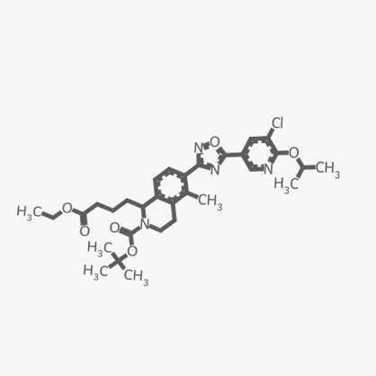 CCOC(=O)CCCC1c2ccc(-c3noc(-c4cnc(OC(C)C)c(Cl)c4)n3)c(C)c2CCN1C(=O)OC(C)(C)C